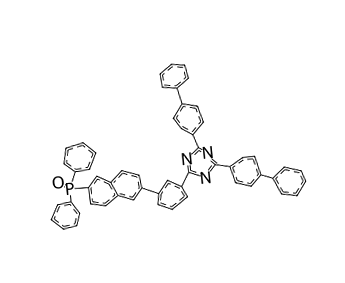 O=P(c1ccccc1)(c1ccccc1)c1ccc2cc(-c3cccc(-c4nc(-c5ccc(-c6ccccc6)cc5)nc(-c5ccc(-c6ccccc6)cc5)n4)c3)ccc2c1